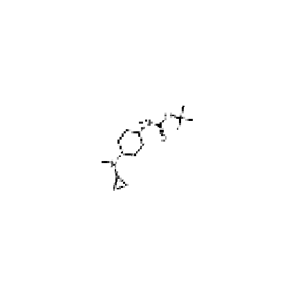 CN(C1CC1)[C@H]1CC[C@H](NC(=O)OC(C)(C)C)CC1